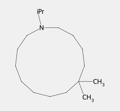 CC(C)N1CCCCCCCC(C)(C)CCCC1